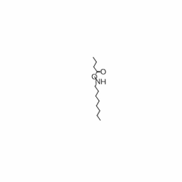 CCCCCCCCNOC(=O)CCC